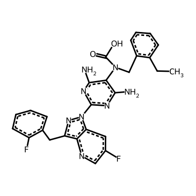 CCc1ccccc1CN(C(=O)O)c1c(N)nc(-n2nc(Cc3ccccc3F)c3ncc(F)cc32)nc1N